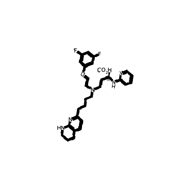 O=C(O)[C@H](CCN(CCCCc1ccc2c(n1)NCCC2)CCOc1cc(F)cc(F)c1)Nc1ccccn1